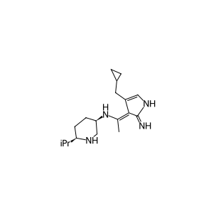 C/C(N[C@@H]1CC[C@H](C(C)C)NC1)=C1\C(=N)NC=C1CC1CC1